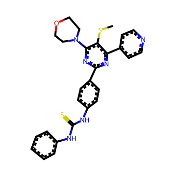 CSc1c(-c2ccncc2)nc(-c2ccc(NC(=S)Nc3ccccc3)cc2)nc1N1CCOCC1